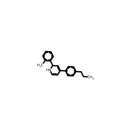 CCCc1ccc(C2=CC(c3ccccc3C)NC=C2)cc1